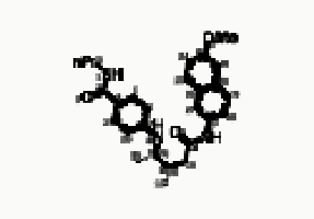 CCCNC(=O)c1ccc(N[C@@H](C)[C@@H](C)CC(=O)Nc2ccc3cc(OC)ccc3c2)cc1